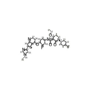 CCOc1ccn(-c2ccc(F)cc2)c(=O)c1C(=O)Nc1ccc(Oc2ccnc3cc(-c4cn(CC)cn4)sc23)c(F)c1